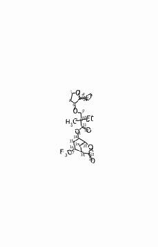 CCC(C)(COC1CCOC1=O)C(=O)OC1CC(C(F)(F)F)C2CC1OC2=O